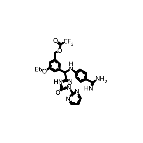 CCOc1cc(COC(=O)C(F)(F)F)cc(C(Nc2ccc(C(=N)N)cc2)c2nn(-c3ncccn3)c(=O)[nH]2)c1